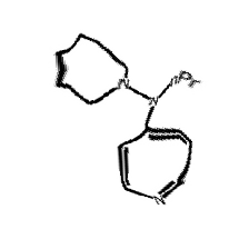 CCCN(c1ccncc1)N1CCCCC1